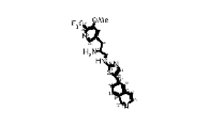 COc1cc(C[C@H](N)CNc2ncc(-c3ccc4cnccc4c3)s2)cnc1C(F)(F)F